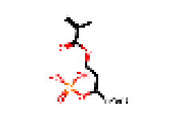 C=C(C)C(=O)OCCC(CCCCC)OP(=O)(O)O